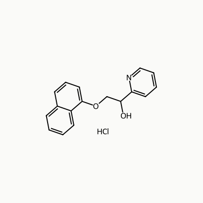 Cl.OC(COc1cccc2ccccc12)c1ccccn1